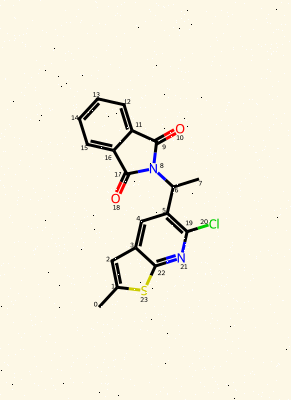 Cc1cc2cc(C(C)N3C(=O)c4ccccc4C3=O)c(Cl)nc2s1